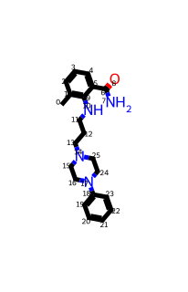 Cc1cccc(C(N)=O)c1NCCCN1CCN(c2ccccc2)CC1